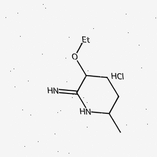 CCOC1CCC(C)NC1=N.Cl